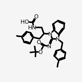 Cc1ccc(CC(CNC(=O)O)n2c(=NC(=O)OC(C)(C)C)n(Cc3ccc(C)cc3)c3ccccc32)cc1